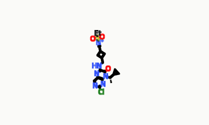 CCS(=O)(=O)[N+]#CC1CC(CNc2nc3cnc(Cl)nc3n([C@@H](C)C3CC3)c2=O)C1